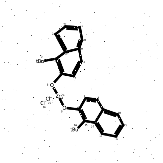 CC(C)(C)c1c([O][Zr+2][O]c2ccc3ccccc3c2C(C)(C)C)ccc2ccccc12.[Cl-].[Cl-]